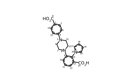 O=C(O)c1ccc(N2CCN(c3cccc(C(=O)O)c3-n3cccc3)CC2)cc1